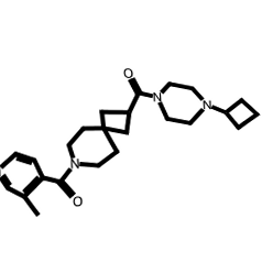 Cc1cnccc1C(=O)N1CCC2(CC1)CC(C(=O)N1CCN(C3CCC3)CC1)C2